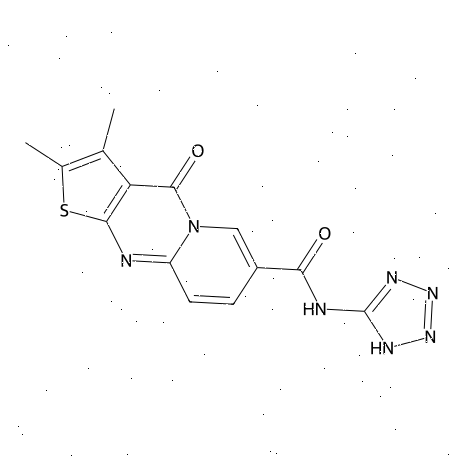 Cc1sc2nc3ccc(C(=O)Nc4nnn[nH]4)cn3c(=O)c2c1C